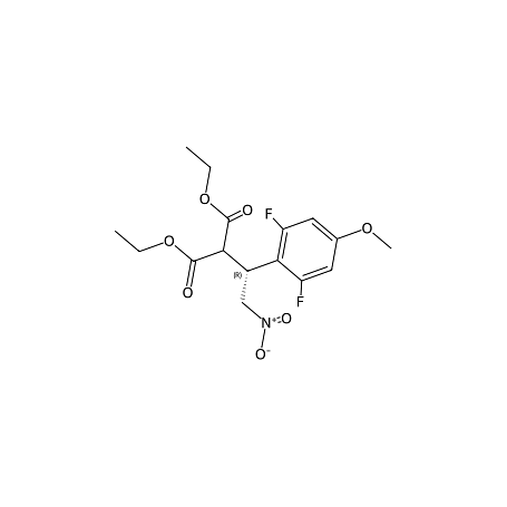 CCOC(=O)C(C(=O)OCC)[C@@H](C[N+](=O)[O-])c1c(F)cc(OC)cc1F